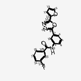 O=C(Nc1cccc(-c2nnc(-c3ccco3)o2)c1)c1cccc(F)c1